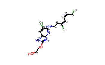 OCCOc1nc2nc(NCC/C(F)=C\C=C/CF)c(Cl)cc2[nH]1